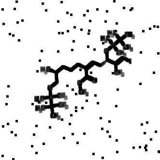 COC(=O)/C(=C\C[C@H](O[Si](C)(C)C(C)(C)C)/C(C)=C/I)CCC[C@H](C)CO[Si](C)(C)C(C)(C)C